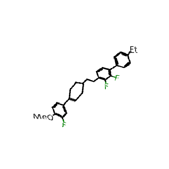 CCc1ccc(-c2ccc(CCC3CCC(c4ccc(OC)c(F)c4)CC3)c(F)c2F)cc1